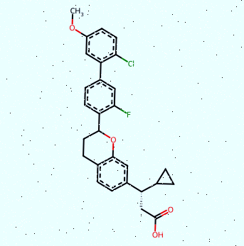 COc1ccc(Cl)c(-c2ccc(C3CCc4ccc([C@@H](CC(=O)O)C5CC5)cc4O3)c(F)c2)c1